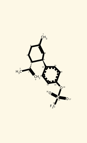 C=C(C)[C@@H]1CCC(C)=C[C@H]1c1ccc(OS(=O)(=O)C(F)(F)F)cc1